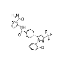 NC(=O)c1sccc1NC(=O)c1ccc(-c2cc(C(F)(F)F)nn2-c2ccccc2Cl)cc1